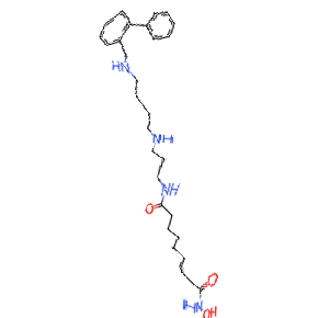 O=C(CCCCCCC(=O)NCCCNCCCCNCc1ccccc1-c1ccccc1)NO